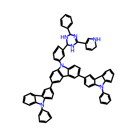 C1=CC(C2=NC(c3ccccc3)NC(c3cccc(-n4c5ccc(-c6ccc7c(c6)c6ccccc6n7-c6ccccc6)cc5c5cc(-c6ccc7c(c6)c6ccccc6n7-c6ccccc6)ccc54)c3)N2)=CNC1